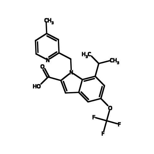 Cc1ccnc(Cn2c(C(=O)O)cc3cc(OC(F)(F)F)cc(C(C)C)c32)c1